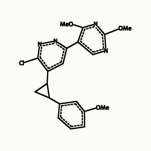 COc1cccc(C2CC2c2cc(-c3cnc(OC)nc3OC)nnc2Cl)c1